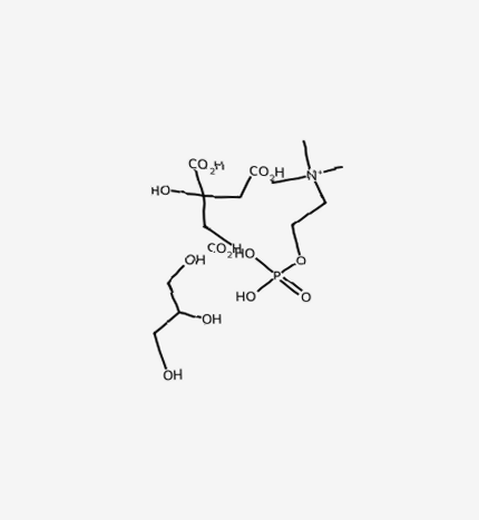 C[N+](C)(C)CCOP(=O)(O)O.O=C(O)CC(O)(CC(=O)O)C(=O)O.OCC(O)CO